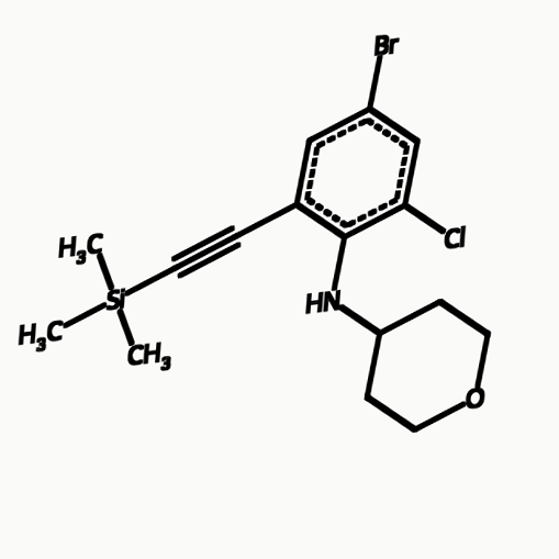 C[Si](C)(C)C#Cc1cc(Br)cc(Cl)c1NC1CCOCC1